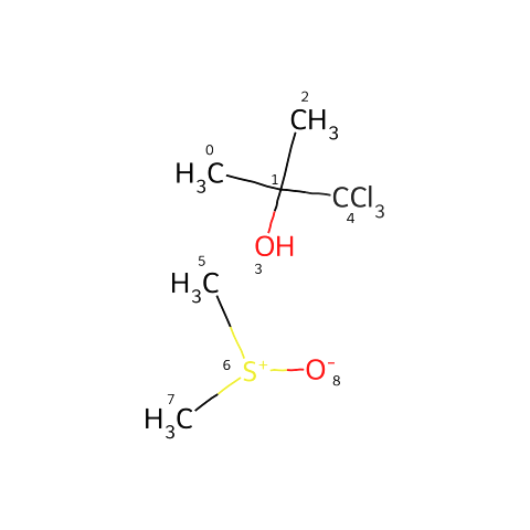 CC(C)(O)C(Cl)(Cl)Cl.C[S+](C)[O-]